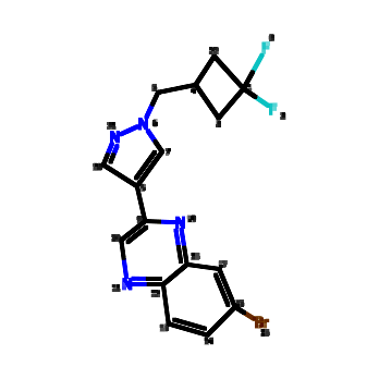 FC1(F)CC(Cn2cc(-c3cnc4ccc(Br)cc4n3)cn2)C1